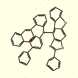 c1ccc(-c2ccc(N(c3ccccc3-c3ccc4ccccc4c3)c3c4nc(-c5ccccc5)oc4cc4oc5ccccc5c34)cc2)cc1